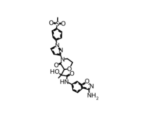 CC(O)(C(=O)Nc1ccc2c(N)noc2c1)C1OCCN(c2ccn(-c3ccc(S(C)(=O)=O)cc3)n2)C1=O